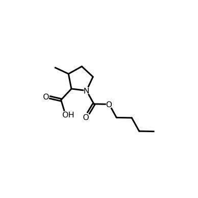 CCCCOC(=O)N1CCC(C)C1C(=O)O